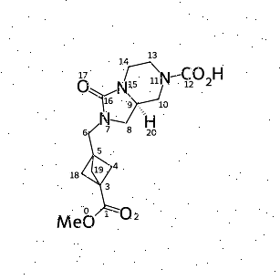 COC(=O)C12CC(CN3C[C@@H]4CN(C(=O)O)CCN4C3=O)(C1)C2